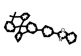 CC1(C)c2ccccc2C2(c3ccccc3-c3cc(-c4ccc(-c5nc6ccccc6o5)cc4)ccc32)c2ccccc21